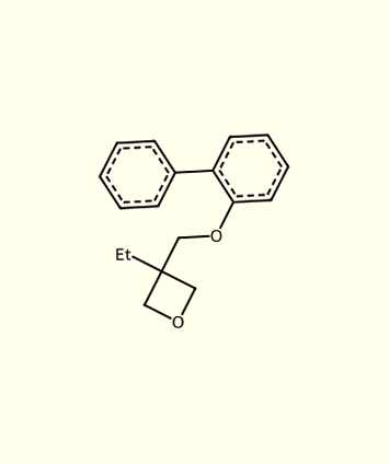 CCC1(COc2ccccc2-c2ccccc2)COC1